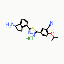 CC(C)Oc1ccc(-c2nnc(-c3cccc4c3CC[C@@H]4N)s2)cc1C#N.Cl